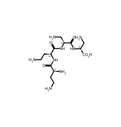 NCC[C@H](NC(=O)[C@@H](N)CCN)C(=O)N[C@@H](CN)C(=O)N[C@@H](CN)C(=O)O